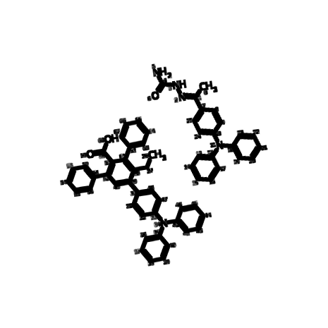 CC(=NNC(N)=O)c1ccc(N(c2ccccc2)c2ccccc2)cc1.CCc1c(-c2ccc(N(c3ccccc3)c3ccccc3)cc2)cc(-c2ccccc2)c(C(=O)O)c1-c1ccccc1